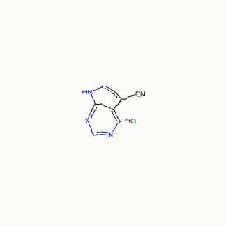 Cl.N#Cc1c[nH]c2ncncc12